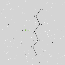 [CH2]CC[C@H](F)CCC